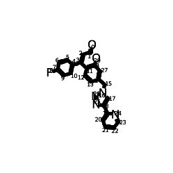 O=c1cc(-c2ccc(F)cc2)c2ccc(Cn3cc(-c4ccccn4)nn3)cc2o1